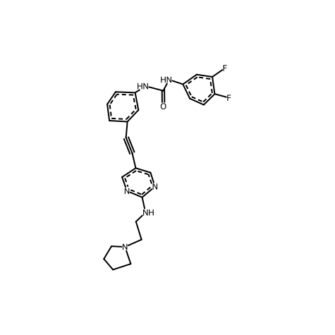 O=C(Nc1cccc(C#Cc2cnc(NCCN3CCCC3)nc2)c1)Nc1ccc(F)c(F)c1